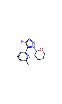 Cc1cccc(-c2c(I)cnn2C2CCCCO2)n1